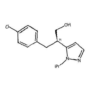 CC(C)n1nccc1[C@H](CO)Cc1ccc(Cl)cc1